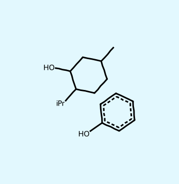 CC1CCC(C(C)C)C(O)C1.Oc1ccccc1